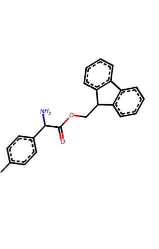 NC(C(=O)OCC1c2ccccc2-c2ccccc21)c1ccc(C(=O)O)cc1